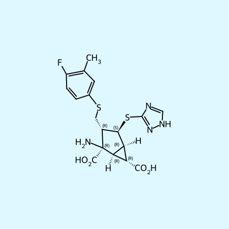 Cc1cc(SC[C@@H]2[C@@H](Sc3nc[nH]n3)[C@H]3[C@H](C(=O)O)[C@H]3[C@]2(N)C(=O)O)ccc1F